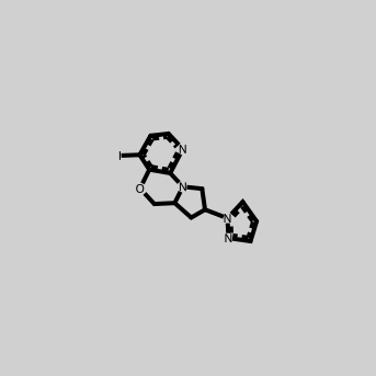 Ic1ccnc2c1OCC1CC(n3cccn3)CN21